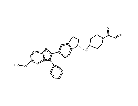 C=CC(=O)N1CCC(N[C@H]2COc3cc(-c4nc5ccc(OC)nn5c4-c4ccccc4)ccc32)CC1